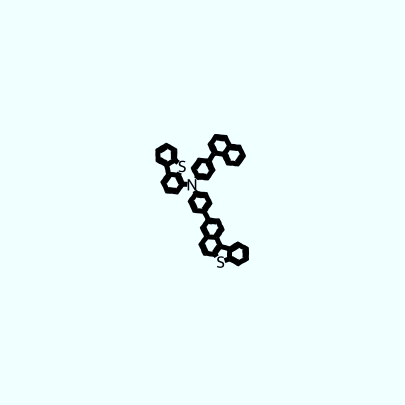 c1ccc2c(-c3ccc(N(c4ccc(-c5ccc6c(ccc7sc8ccccc8c76)c5)cc4)c4cccc5c4sc4ccccc45)cc3)cccc2c1